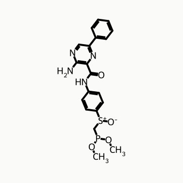 COP(C[S+]([O-])c1ccc(NC(=O)c2nc(-c3ccccc3)cnc2N)cc1)OC